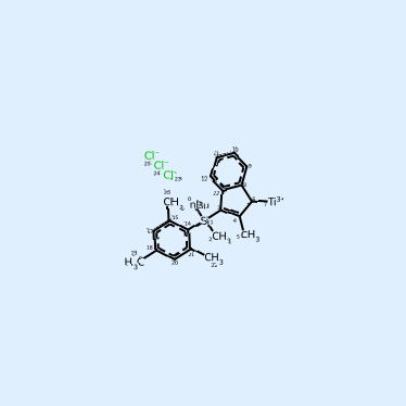 CCCC[Si](C)(C1=C(C)[CH]([Ti+3])c2ccccc21)c1c(C)cc(C)cc1C.[Cl-].[Cl-].[Cl-]